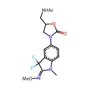 CON=C1N(C)c2ccc(N3CC(CNC(C)=O)OC3=O)cc2C1(F)F